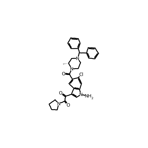 C[C@@H]1CN(C(c2ccccc2)c2ccccc2)CCN1C(=O)c1cc2c(C(=O)C(=O)N3CCCC3)cn(N)c2cc1Cl